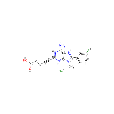 Cl.Cn1c(-c2cccc(F)c2)nc2c(N)nc(C#CCCC(=O)O)nc21